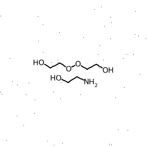 NCCO.OCCOOCCO